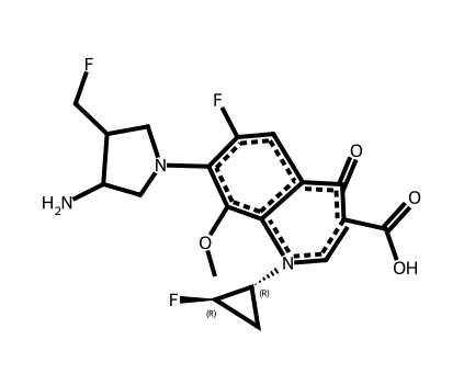 COc1c(N2CC(N)C(CF)C2)c(F)cc2c(=O)c(C(=O)O)cn([C@@H]3C[C@H]3F)c12